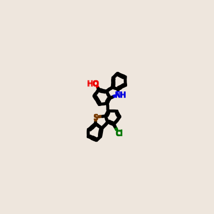 Oc1ccc(-c2ccc(Cl)c3c2sc2ccccc23)c2[nH]c3ccccc3c12